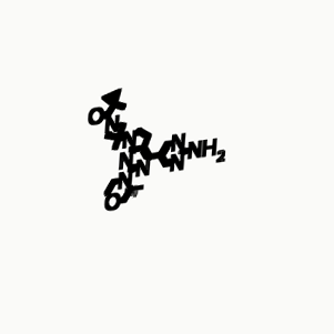 C[C@H]1COCCN1c1nc(-c2cnc(N)nc2)c2c(n1)N(C1(C)CN(C(=O)C3(C)CC3)C1)CC2